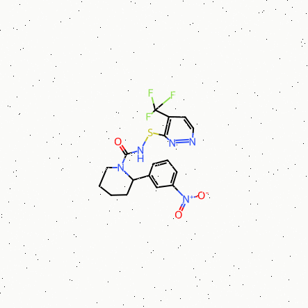 O=C(NSc1nnccc1C(F)(F)F)N1CCCCC1c1cccc([N+](=O)[O-])c1